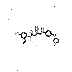 C=Cc1cc(O)ccc1NC(=O)C/C(N)=C/Nc1ccc(O[C@@H]2CCN(C)C2)cc1